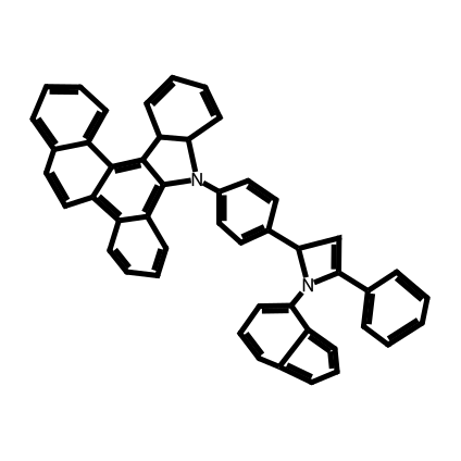 C1=CC=c2cccc(N3C(c4ccccc4)=CC3c3ccc(N4c5c(c6c7ccccc7ccc6c6ccccc56)C5C=CC=CC54)cc3)c2=1